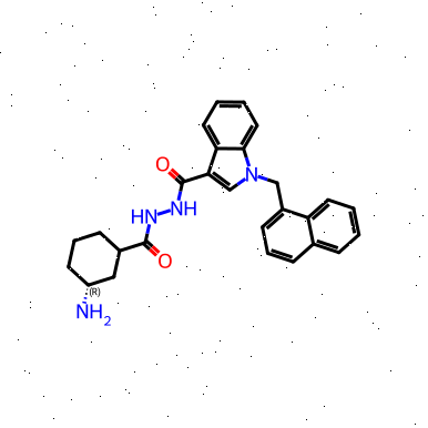 N[C@@H]1CCCC(C(=O)NNC(=O)c2cn(Cc3cccc4ccccc34)c3ccccc23)C1